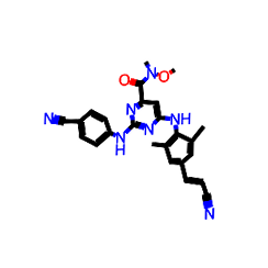 CON(C)C(=O)c1cc(Nc2c(C)cc(/C=C/C#N)cc2C)nc(Nc2ccc(C#N)cc2)n1